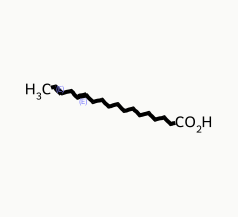 C/C=C/C/C=C/CCCCCCCCCCCC(=O)O